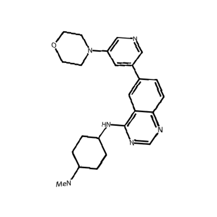 CNC1CCC(Nc2ncnc3ccc(-c4cncc(N5CCOCC5)c4)cc23)CC1